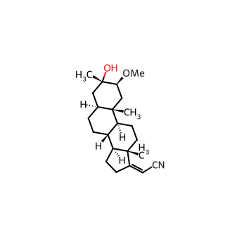 CO[C@H]1C[C@@]2(C)[C@@H](CC[C@@H]3[C@@H]2CC[C@]2(C)/C(=C\C#N)CC[C@@H]32)C[C@]1(C)O